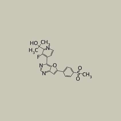 CC(C)(O)c1nccc(-c2ncnc3cc(-c4ccc(S(C)(=O)=O)cc4)oc23)c1F